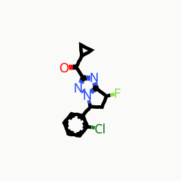 O=C(c1nc2n(n1)C(c1ccccc1Cl)CC2F)C1CC1